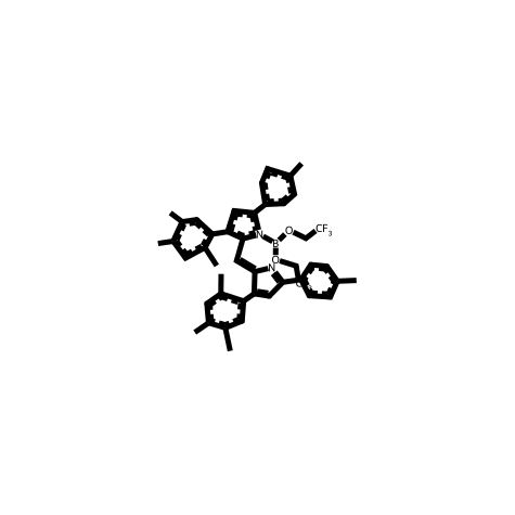 Cc1ccc(C2=N/C(=C\c3c(-c4cc(C)c(C)cc4C)cc(-c4ccc(C)cc4)n3B(OCC(F)(F)F)OCC(F)(F)F)C(c3cc(C)c(C)cc3C)=C2)cc1